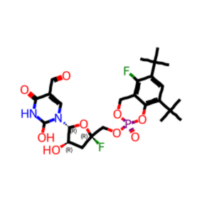 CC(C)(C)c1cc(C(C)(C)C)c2c(c1F)COP(=O)(OC[C@]1(F)C[C@@H](O)[C@H](N3C=C(C=O)C(=O)NC3O)O1)O2